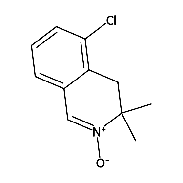 CC1(C)Cc2c(Cl)cccc2C=[N+]1[O-]